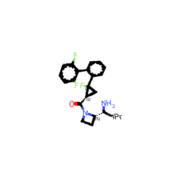 CC(C)C(N)[C@@H]1CCN1C(=O)[C@@H]1C[C@@]1(F)c1ccccc1-c1c(F)cccc1F